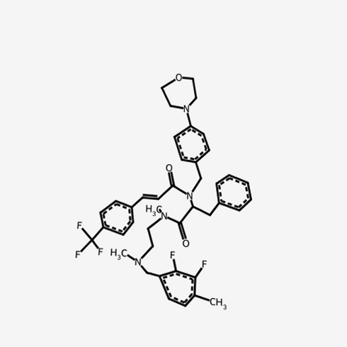 Cc1ccc(CN(C)CCN(C)C(=O)C(Cc2ccccc2)N(Cc2ccc(N3CCOCC3)cc2)C(=O)C=Cc2ccc(C(F)(F)F)cc2)c(F)c1F